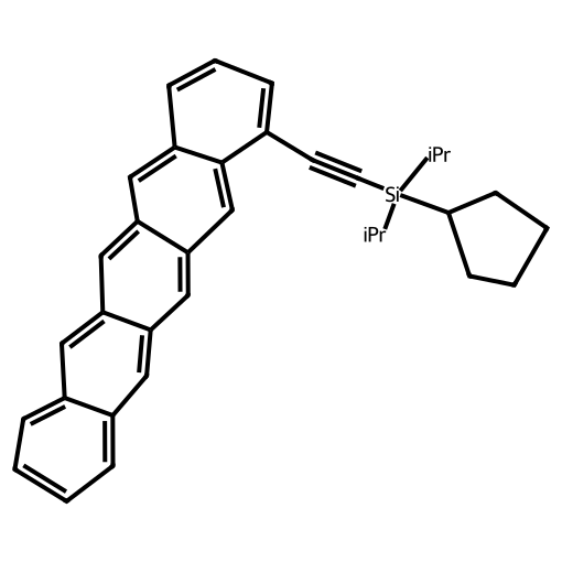 CC(C)[Si](C#Cc1cccc2cc3cc4cc5ccccc5cc4cc3cc12)(C(C)C)C1CCCC1